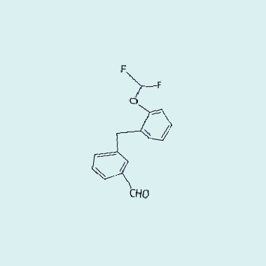 O=Cc1cccc(Cc2ccccc2OC(F)F)c1